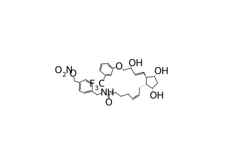 O=C(CCC/C=C\C[C@@H]1[C@@H](/C=C/[C@@H](O)COc2cccc(C(F)(F)F)c2)[C@H](O)C[C@@H]1O)NCc1ccc(CO[N+](=O)[O-])cc1